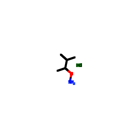 CC(C)C(C)ON.Cl